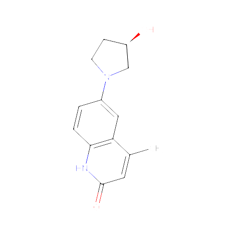 O=c1cc(C(F)(F)F)c2cc(N3CC[C@@H](O)C3)ccc2[nH]1